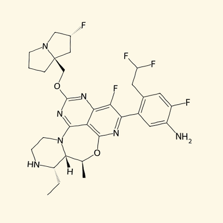 CC[C@@H]1NCCN2c3nc(OC[C@@]45CCCN4C[C@H](F)C5)nc4c(F)c(-c5cc(N)c(F)cc5CC(F)F)nc(c34)O[C@@H](C)[C@H]12